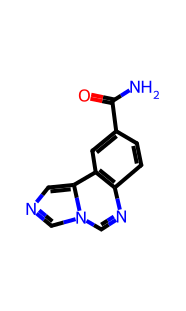 NC(=O)c1ccc2ncn3cncc3c2c1